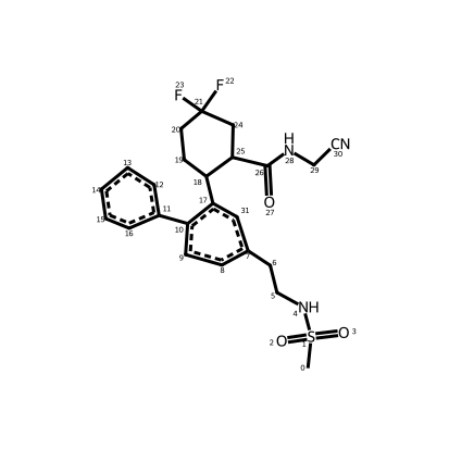 CS(=O)(=O)NCCc1ccc(-c2ccccc2)c(C2CCC(F)(F)CC2C(=O)NCC#N)c1